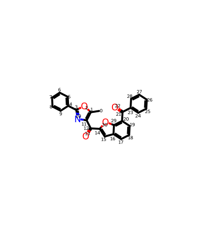 Cc1oc(-c2ccccc2)nc1C(=O)c1cc2cccc(C(=O)c3ccccc3)c2o1